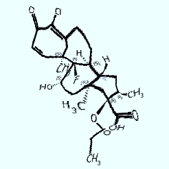 CCC(=O)O[C@]1(C(=O)O)[C@H](C)C[C@H]2[C@@H]3CCC4=C(Cl)C(=O)C=C[C@]4(C)[C@@]3(F)[C@@H](O)C[C@@]21C